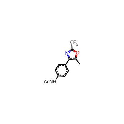 CC(=O)Nc1ccc(-c2nc(C(F)(F)F)oc2C)cc1